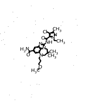 CCn1nc(C)c(Cl)c1C(=O)Nc1nc2cc(C(N)=O)cc3c2n1CC(C)(C)CN3CCCOC